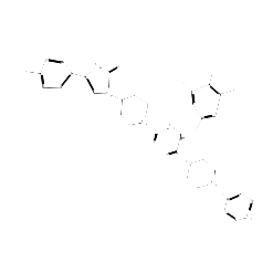 O=C(N[C@H](Cc1cc(Br)c(O)c(Br)c1)C(=O)N1CCN(c2ccncc2)CC1)N1CCC(n2cc(-c3ccc(F)cc3)[nH]c2=O)CC1